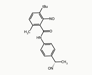 Cc1ccc(C(C)(C)C)c(N=O)c1C(=O)Nc1ccc([C@H](C)N=O)cc1